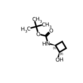 CC(C)(C)OC(=O)N[C@H]1CC[C@H]1O